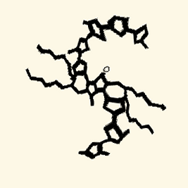 C=C1C2=C(C3=C(C)C=C(C4=C(C)C=C(C5=C(C)C=C(C)C5)C4)C3)C(CC(CCCCCC)CCCCCCCC)C(=O)C2=C(C2=C(C)C=C(C3=C(C)C=C(C4=C(C)C=C(C5=CC=C(C6=CC=C(C)C6)C5)C4)C3)C2)C1CC(CCCCCC)CCCCCCCC